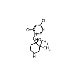 CC1(C)CNCCC1(O)Cn1cnc(Cl)cc1=O